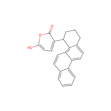 O=c1oc(O)ccc1C1CCCc2ccc3c(ccc4ccccc43)c21